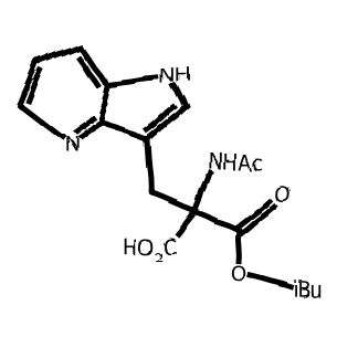 CCC(C)OC(=O)C(Cc1c[nH]c2cccnc12)(NC(C)=O)C(=O)O